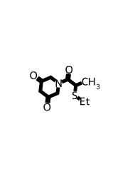 CCSC(C)C(=O)N1CC(=O)CC(=O)C1